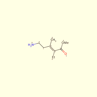 CCC(C(=O)OC)=C(C)CCN